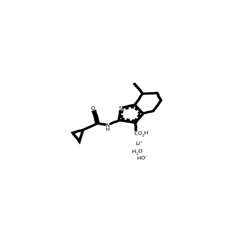 CC1CCCc2c1sc(NC(=O)C1CC1)c2C(=O)O.O.[Li+].[OH-]